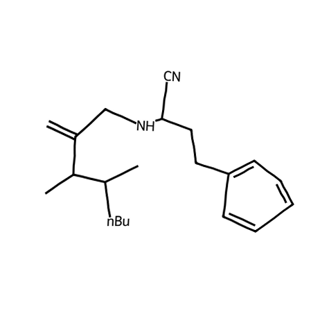 C=C(CNC(C#N)CCc1ccccc1)C(C)C(C)CCCC